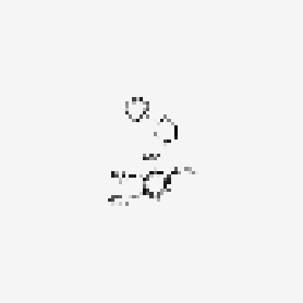 COc1nnc(C(=O)O)c(C)c1NC[C@H]1CCC[C@@H](c2ccccc2)C1